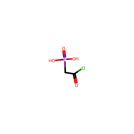 O=C(Cl)CP(=O)(O)O